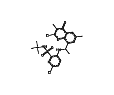 Cc1cc(C(C)Nc2ccc(Cl)nc2S(=O)(=O)NC(C)(C)C)c2oc(Cl)c(C)c(=O)c2c1